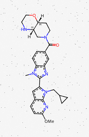 COc1ccc2cc(-c3nc4cc(C(=O)N5CC[C@H]6OCCN[C@H]6C5)ccc4n3C)n(CC3CC3)c2n1